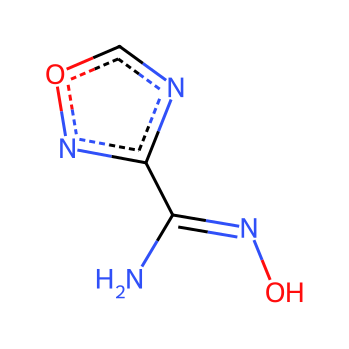 N/C(=N\O)c1ncon1